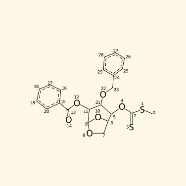 CSC(=S)OC1C2COC(O2)C(OC(=O)c2ccccc2)C1OCc1ccccc1